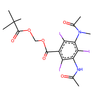 CC(=O)Nc1c(I)c(C(=O)OCOC(=O)C(C)(C)C)c(I)c(N(C)C(C)=O)c1I